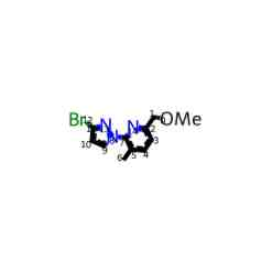 COCc1ccc(C)c(-n2ccc(Br)n2)n1